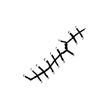 FCC(F)(F)C(F)(F)C(F)(F)C(F)(F)C(F)(F)/C(F)=C(\F)C(F)(F)C(F)(F)F